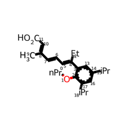 CCCOc1c(C(=CC=CC(C)=CC(=O)O)CC)cc(C(C)C)cc1C(C)C